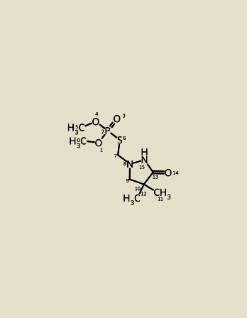 COP(=O)(OC)SCN1CC(C)(C)C(=O)N1